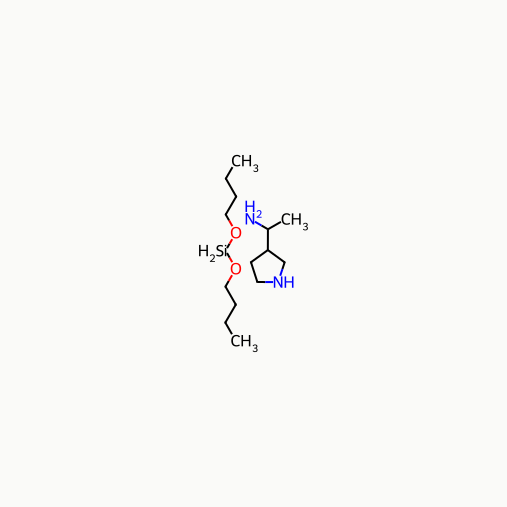 CC(N)C1CCNC1.CCCCO[SiH2]OCCCC